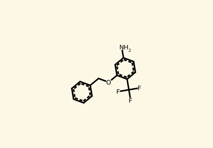 Nc1ccc(C(F)(F)F)c(OCc2ccccc2)c1